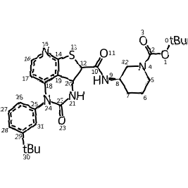 CC(C)(C)OC(=O)N1CCC[C@@H](NC(=O)C2Sc3nccc4c3C2NC(=O)N4c2cccc(C(C)(C)C)c2)C1